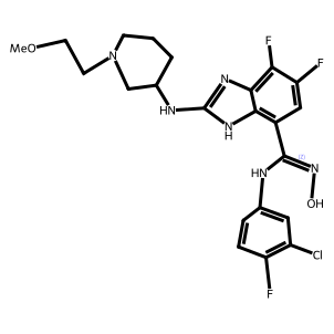 COCCN1CCCC(Nc2nc3c(F)c(F)cc(/C(=N/O)Nc4ccc(F)c(Cl)c4)c3[nH]2)C1